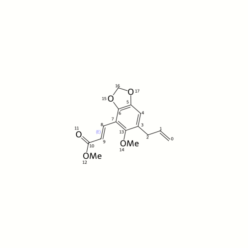 C=CCc1cc2c(c(/C=C/C(=O)OC)c1OC)OCO2